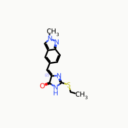 CCSC1=N/C(=C\c2ccc3nn(C)cc3c2)C(=O)N1